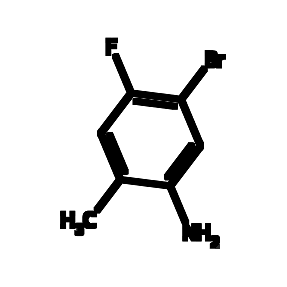 Cc1cc(F)c(Br)cc1N